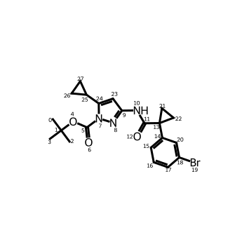 CC(C)(C)OC(=O)n1nc(NC(=O)C2(c3cccc(Br)c3)CC2)cc1C1CC1